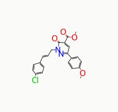 COC(=O)c1cc(-c2ccc(OC)cc2)nn(CC=Cc2ccc(Cl)cc2)c1=O